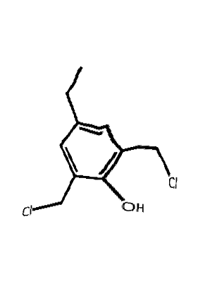 CCc1cc(CCl)c(O)c(CCl)c1